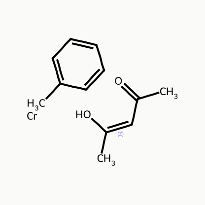 CC(=O)/C=C(/C)O.Cc1ccccc1.[Cr]